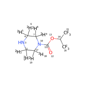 [2H]C1([2H])NC([2H])([2H])C([2H])([2H])N(C(=O)OC(C(F)(F)F)C(F)(F)F)C1([2H])[2H]